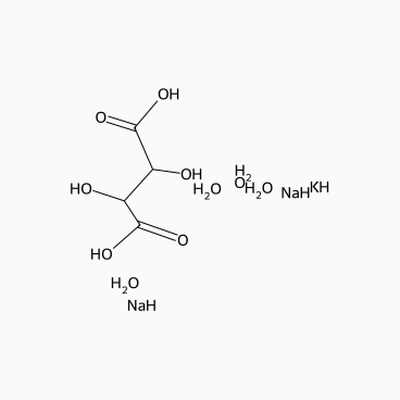 O.O.O.O.O=C(O)C(O)C(O)C(=O)O.[KH].[NaH].[NaH]